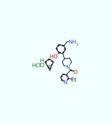 CCc1ncccc1C(=O)N1CCC(c2cc(CN)ccc2O)CC1.Cl.Cl.c1cc2cc-2c1